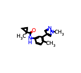 Cc1ccc(NC(=O)C2(C)CC2)cc1-c1cnn(C)c1